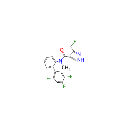 CN(C(=O)c1c[nH]nc1CF)c1ccccc1-c1cc(F)c(F)cc1F